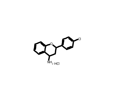 Cl.NC1CC(c2ccc(Cl)cc2)Oc2ccccc21